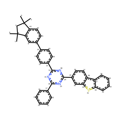 CC1(C)CC(C)(C)c2cc(-c3ccc(-c4nc(-c5ccccc5)nc(-c5ccc6c(c5)sc5ccccc56)n4)cc3)ccc21